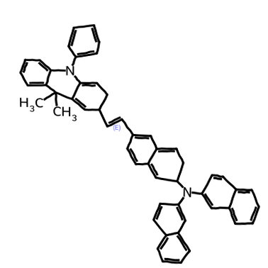 CC1(C)C2=CC(/C=C/c3ccc4c(c3)=CCC(N(c3ccc5ccccc5c3)c3ccc5ccccc5c3)C=4)CC=C2N(c2ccccc2)c2ccccc21